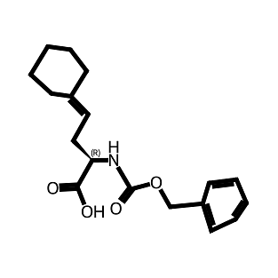 O=C(N[C@H](CC=C1CCCCC1)C(=O)O)OCc1ccccc1